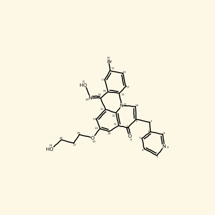 O=c1c(Cc2cccnc2)cn2c3ccc(Br)cc3/c(=N\O)c3cc(OCCCO)cc1c32